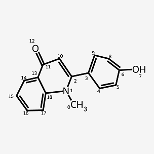 Cn1c(-c2ccc(O)cc2)cc(=O)c2ccccc21